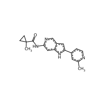 Cc1cc(-c2cc3cnc(NC(=O)C4(C)CC4)cc3[nH]2)ccn1